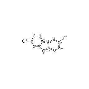 Clc1ccc2c(c1)oc1ccc(I)cc12